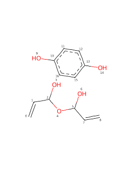 C=CC(O)OC(O)C=C.Oc1ccc(O)cc1